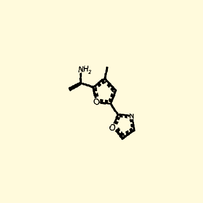 C=C(N)c1oc(-c2ncco2)cc1C